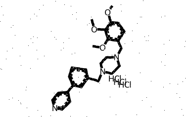 COc1ccc(CN2CCN(Cc3cccc(-c4ccncc4)c3)CC2)c(OC)c1OC.Cl.Cl.Cl